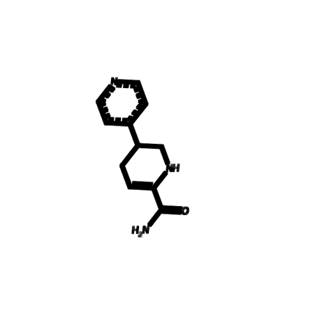 NC(=O)C1=CCC(c2ccncc2)CN1